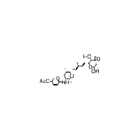 CC(=O)O[C@@H](C)/C=C\C(=O)N[C@@H]1C[C@H](C)[C@H](C/C=C(C)/C=C/[C@H]2O[C@](C)(O)C[C@@]3(CO3)[C@@H]2O)O[C@@H]1C